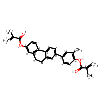 C=C(C)C(=O)Oc1ccc2c(c1)CCc1cc(-c3ccc(OC(=O)C(=C)C)c(C)c3)ccc1-2